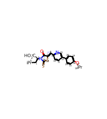 CC(C)C[C@@H](C(=O)O)N1C(=O)/C(=C/c2ccc(-c3ccc(OC(C)C)cc3)cn2)SC1=S